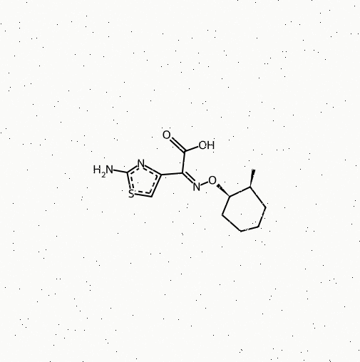 C[C@H]1CCCC[C@H]1ON=C(C(=O)O)c1csc(N)n1